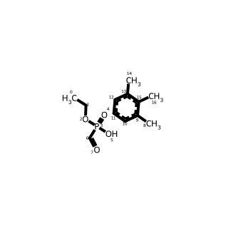 CCOP(=O)(O)C=O.Cc1cccc(C)c1C